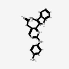 Cc1ccc(Nc2ncc3c(n2)-c2oc4ccccc4c2NC(=O)C3)cc1